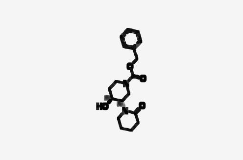 O=C(OCc1ccccc1)N1CC[C@H](O)[C@@H](N2CCCCC2=O)C1